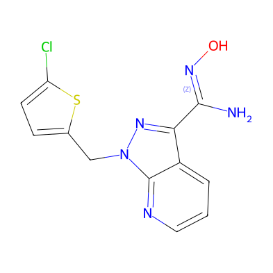 N/C(=N\O)c1nn(Cc2ccc(Cl)s2)c2ncccc12